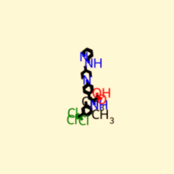 Cc1cc(C(Cl)(Cl)Cl)cc(C)c1NC(Cc1ccc(N2CCC(CNc3ccccn3)CC2)cc1)C(=O)O